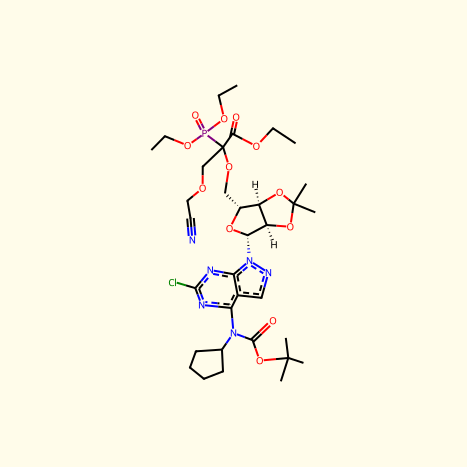 CCOC(=O)C(COCC#N)(OC[C@H]1O[C@@H](n2ncc3c(N(C(=O)OC(C)(C)C)C4CCCC4)nc(Cl)nc32)[C@@H]2OC(C)(C)O[C@@H]21)P(=O)(OCC)OCC